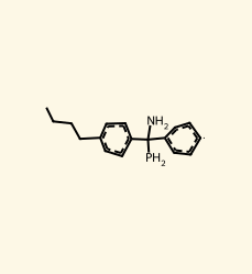 CCCCc1ccc(C(N)(P)c2cc[c]cc2)cc1